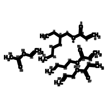 C=CC(=O)OCC(CC)CCCC.C=CC(=O)OCCCC.C=CCOC(=O)C=C.C=COC(C)=O